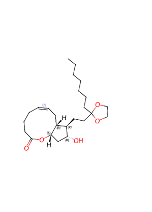 CCCCCCCC1(CC[C@@H]2[C@H]3C/C=C\CCCC(=O)O[C@H]3C[C@H]2O)OCCO1